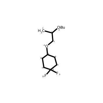 CC(C)COC(C)COC1CCC(F)(F)CC1